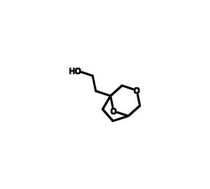 OCCC12CCC(COC1)O2